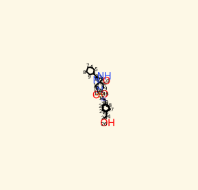 O=C1NC(C2CCCCC2)=NC12CCN(S(=O)(=O)/C=C/c1ccc(CCO)cc1)CC2